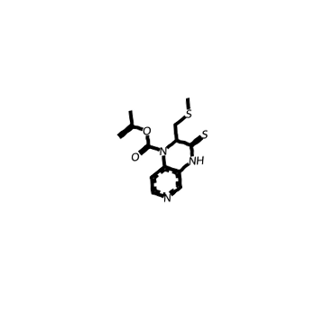 C=C(C)OC(=O)N1c2ccncc2NC(=S)C1CSC